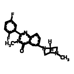 CN1C[C@@H]2C1CN2c1ccc2nc(-c3cc(F)ccc3F)n(C)c(=O)c2c1